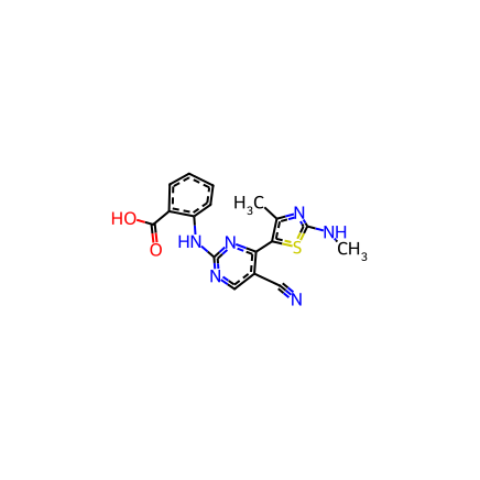 CNc1nc(C)c(-c2nc(Nc3ccccc3C(=O)O)ncc2C#N)s1